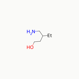 [CH2]CC(CN)CCO